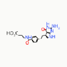 Nc1nc2[nH]cc(CCc3ccc(C(=O)NCCCC(=O)O)cc3)c2c(=O)[nH]1